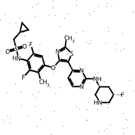 Cc1nc(Oc2cc(F)c(NS(=O)(=O)CC3CC3)c(F)c2C)c(-c2ccnc(N[C@@H]3CNC[C@@H](F)C3)n2)s1